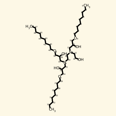 CCCCCCCCCOCC(O)CN(CCO)CCN(CC(O)COCCCCCCCCC)CC(O)COCCCCCCCCC